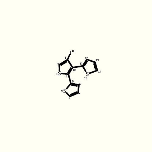 Ic1csc(-c2cccs2)c1-c1cccs1